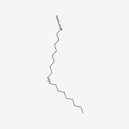 CCCCCCCC/C=C\CCCCCCCCN=C=S